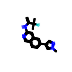 C=C(Nc1cc2cc(-c3cnn(C)c3)ccc2cn1)C(C)(C)F